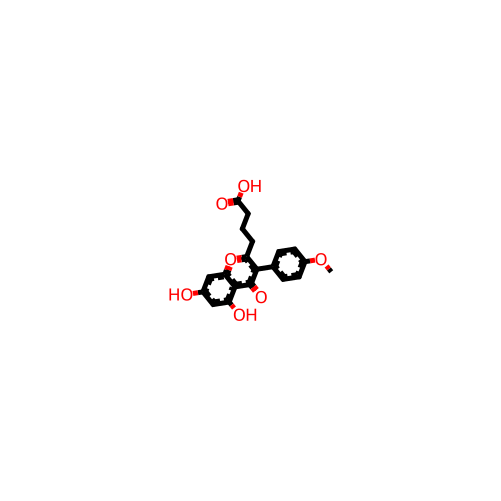 COc1ccc(-c2c(CCCC(=O)O)oc3cc(O)cc(O)c3c2=O)cc1